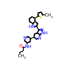 CCCC(=O)Nc1cncc(-c2cnc3[nH]nc(-c4cc5c(-c6ccc(C)s6)cccc5[nH]4)c3c2)c1